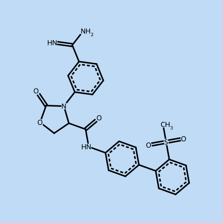 CS(=O)(=O)c1ccccc1-c1ccc(NC(=O)C2COC(=O)N2c2cccc(C(=N)N)c2)cc1